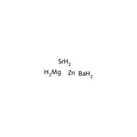 [BaH2].[MgH2].[SrH2].[Zn]